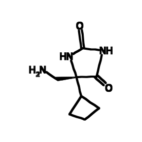 NC[C@@]1(C2CCC2)NC(=O)NC1=O